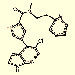 CN(CCc1ccccn1)C(=O)c1cc(-c2c(Cl)cnc3[nH]ccc23)c[nH]1